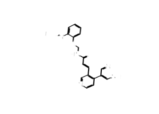 C=Nc1ccccc1OCNC(=O)/C=C/c1cnccc1/C(C=N)=C/N